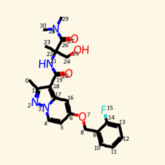 Cc1nn2ccc(OCc3ccccc3F)cc2c1C(=O)NC(C)(CO)C(=O)N(C)C